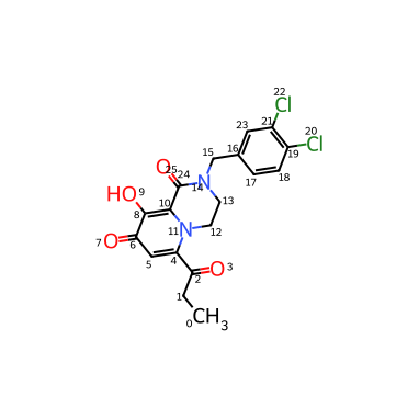 CCC(=O)c1cc(=O)c(O)c2n1CCN(Cc1ccc(Cl)c(Cl)c1)C2=O